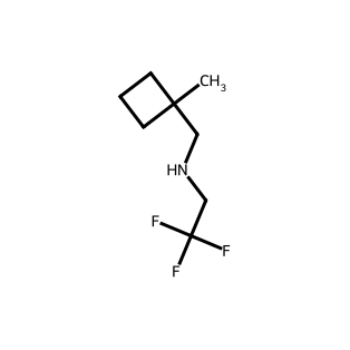 CC1(CNCC(F)(F)F)CCC1